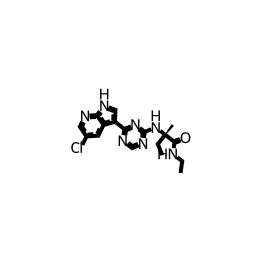 CCNC(=O)[C@](C)(CC)Nc1ncnc(-c2c[nH]c3ncc(Cl)cc23)n1